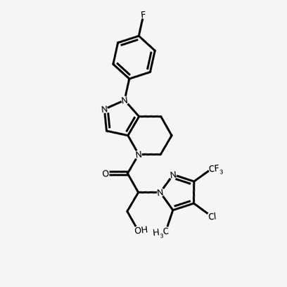 Cc1c(Cl)c(C(F)(F)F)nn1C(CO)C(=O)N1CCCc2c1cnn2-c1ccc(F)cc1